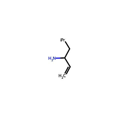 C=CC(N)CC(C)C